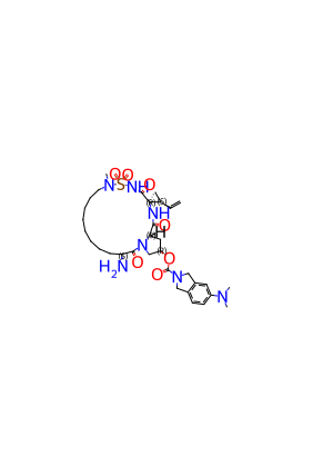 C=C[C@@H]1C[C@@]12NC(=O)[C@@H]1C[C@@H](OC(=O)N3Cc4ccc(N(C)C)cc4C3)CN1C(=O)[C@@H](N)CCCCCCCCN(C)S(=O)(=O)NC2=O